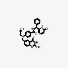 C#CCN(Cc1ccc2nc(C)[nH]c(=O)c2c1)c1ccc(C(=O)NC(c2ccccc2)c2cccc(=O)[nH]2)cc1